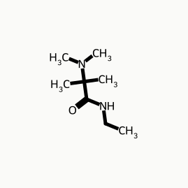 CCNC(=O)C(C)(C)N(C)C